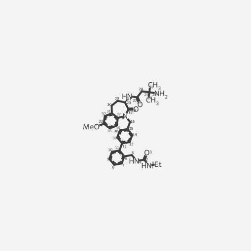 CCNC(=O)NCc1ccccc1-c1ccc(CN2C(=O)[C@H](NC(=O)CC(C)(C)N)CCc3cc(OC)ccc32)cc1